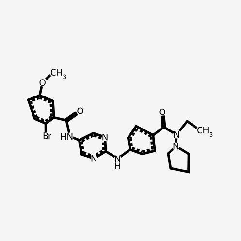 CCN(C(=O)c1ccc(Nc2ncc(NC(=O)c3cc(OC)ccc3Br)cn2)cc1)N1CCCC1